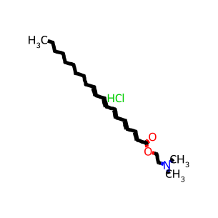 CCCCCCCCCC=CC=CC=CC=CC=CC(=O)OCCN(C)C.Cl